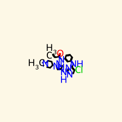 CC=CC(=O)Nc1cccc(Nc2nc(Nc3cnn(C4CCN(C)CC4)c3)ncc2Cl)c1